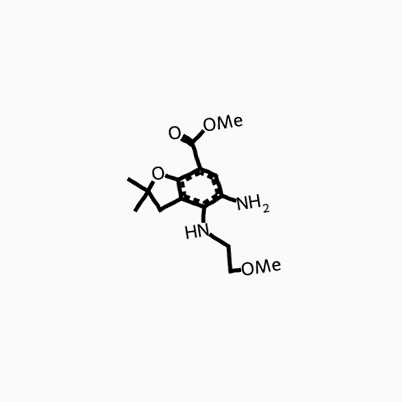 COCCNc1c(N)cc(C(=O)OC)c2c1CC(C)(C)O2